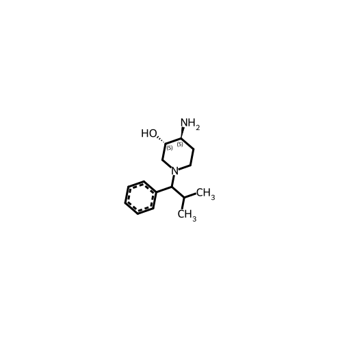 CC(C)C(c1ccccc1)N1CC[C@H](N)[C@@H](O)C1